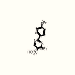 CCCc1ccc(-c2ncc(C(=O)O)c(CC)n2)cc1